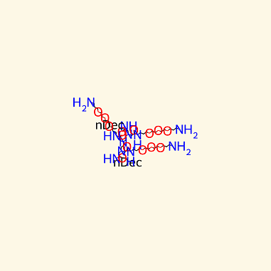 CCCCCCCCCCNC(=O)CN(CCN(CCN(CC(=O)NCCCCCCCCCC)CC(=O)NCCCOCCOCCOCCCN)CC(=O)NCCCOCCOCCOCCCN)CC(=O)NCCCOCCOCCOCCCN